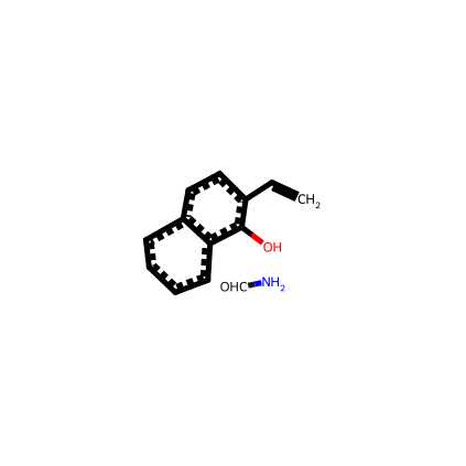 C=Cc1ccc2ccccc2c1O.NC=O